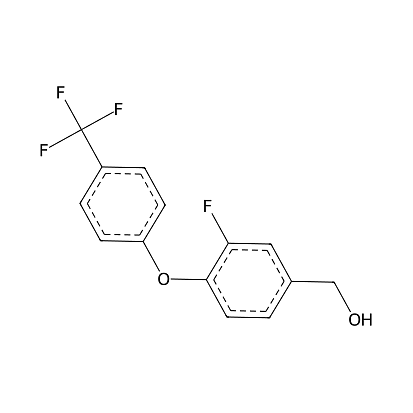 OCc1ccc(Oc2ccc(C(F)(F)F)cc2)c(F)c1